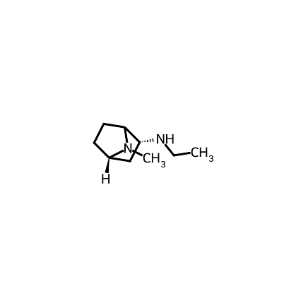 CCN[C@@H]1C[C@@H]2CCC1N2C